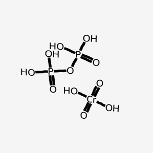 O=P(O)(O)OP(=O)(O)O.[O]=[Cr](=[O])([OH])[OH]